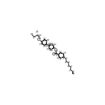 C=CCCCCCCc1ccc(C(=O)Oc2cnc(-c3ccc(OC[C@@H](C)CC)cc3)cn2)cc1